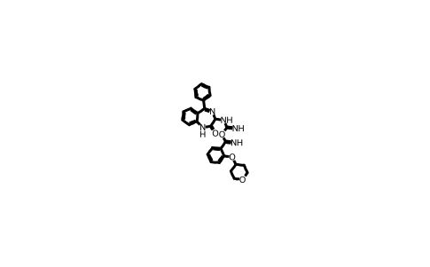 N=C(NC1N=C(c2ccccc2)c2ccccc2NC1=O)OC(=N)c1ccccc1OC1CCOCC1